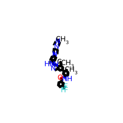 Cc1ccc(NC(=O)c2cccc(C(F)(F)F)c2)cc1-c1cc(C(C)C)c2nc(Nc3ccc(N4CCC(N5CCN(C)CC5)CC4)cc3)ncc2c1